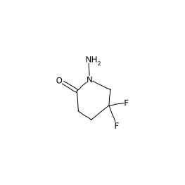 NN1CC(F)(F)CCC1=O